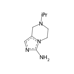 CC(C)N1CCn2c(cnc2N)C1